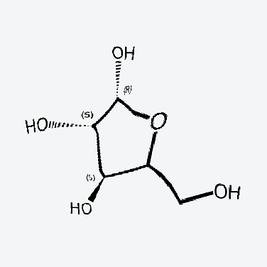 OCC1O[C@@H](O)[C@@H](O)[C@@H]1O